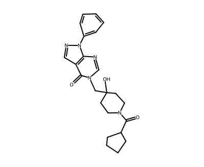 O=C(C1CCCC1)N1CCC(O)(Cn2cnc3c(cnn3-c3ccccc3)c2=O)CC1